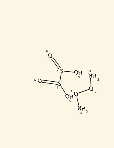 NOON.O=S(O)S(=O)O